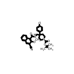 COc1c(C#N)cc2ccccc2c1C(=O)NCC1(c2ccc(Cl)cc2)CCN(C(=O)OC(C)(C)C)CC1